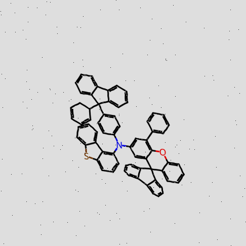 C1=CCC(C2(c3ccc(N(c4cc(-c5ccccc5)c5c(c4)C4(c6ccccc6O5)c5ccccc5-c5ccccc54)c4cccc5sc6ccccc6c45)cc3)c3ccccc3-c3ccccc32)C=C1